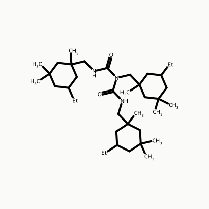 CCC1CC(C)(C)CC(C)(CNC(=O)N(CC2(C)CC(CC)CC(C)(C)C2)C(=O)NCC2(C)CC(CC)CC(C)(C)C2)C1